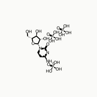 Nc1ccn([C@@H]2O[C@H](CO)[C@@H](O)[C@@H]2O)c(=O)n1.O=P(O)(O)O.O=P(O)(O)O.O=P(O)(O)O